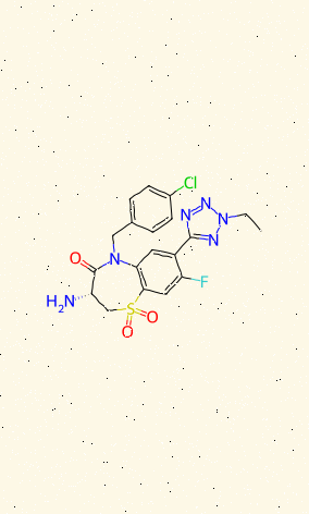 CCn1nnc(-c2cc3c(cc2F)S(=O)(=O)C[C@H](N)C(=O)N3Cc2ccc(Cl)cc2)n1